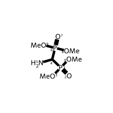 COP(=O)(OC)C(N)P(=O)(OC)OC